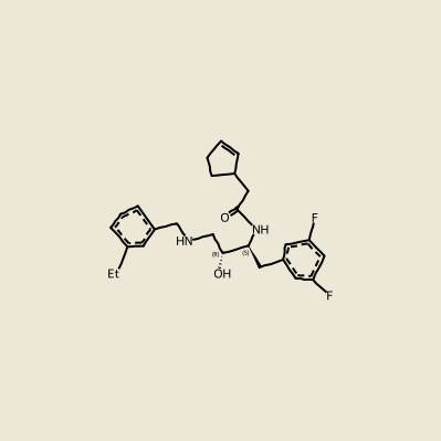 CCc1cccc(CNC[C@@H](O)[C@H](Cc2cc(F)cc(F)c2)NC(=O)CC2C=CCC2)c1